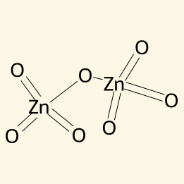 [O]=[Zn](=[O])(=[O])[O][Zn](=[O])(=[O])=[O]